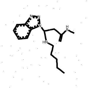 C=C(BC)CC(NCCCCC)n1nnc2ccccc21